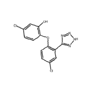 Oc1cc(Cl)ccc1Oc1ccc(Cl)cc1-c1nn[nH]n1